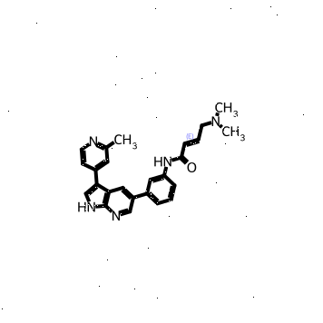 Cc1cc(-c2c[nH]c3ncc(-c4cccc(NC(=O)/C=C/CN(C)C)c4)cc23)ccn1